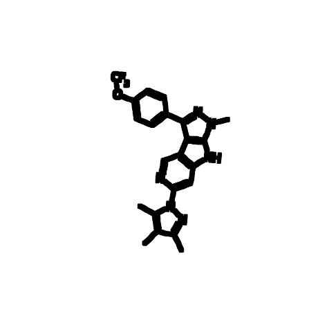 Cc1nn(-c2cc3[nH]c4c(c(-c5ccc(OC(F)(F)F)cc5)nn4C)c3cn2)c(C)c1C